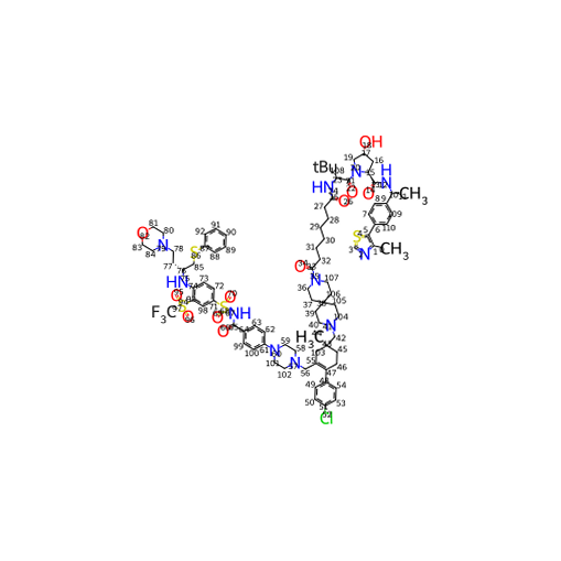 Cc1ncsc1-c1ccc([C@H](C)NC(=O)[C@@H]2C[C@@H](O)CN2C(=O)[C@@H](NC(=O)CCCCCCC(=O)N2CCC3(CCN(CC4(C)CCC(c5ccc(Cl)cc5)=C(CN5CCN(c6ccc(C(=O)NS(=O)(=O)c7ccc(N[C@H](CCN8CCOCC8)CSc8ccccc8)c(S(=O)(=O)C(F)(F)F)c7)cc6)CC5)C4)CC3)CC2)C(C)(C)C)cc1